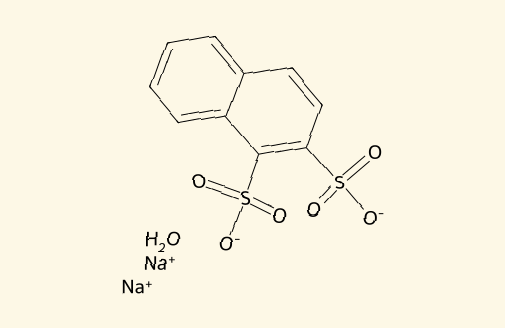 O.O=S(=O)([O-])c1ccc2ccccc2c1S(=O)(=O)[O-].[Na+].[Na+]